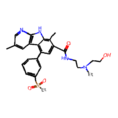 CCN(CCO)CCNC(=O)c1cc(-c2cccc(S(=O)(=O)CC)c2)c2c([nH]c3ncc(C)cc32)c1C